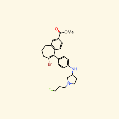 COC(=O)c1ccc2c(c1)CCCC(Br)=C2c1ccc(N[C@H]2CCN(CCCF)C2)cc1